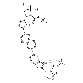 CC(C)(C)OC(=O)N1[C@@H]2CC2C[C@H]1c1nc2ccc(-c3ccc4nc(-c5cnc([C@@H]6C[C@H]7C[C@H]7N6C(=O)OC(C)(C)C)[nH]5)cnc4c3)cc2[nH]1